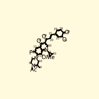 COc1c(N2CCN(C(C)=O)C(C)C2)c(F)cc2c(=O)c(C(=O)C=CC3=CC(=O)C(=O)C=C3)cn(C3CC3)c12